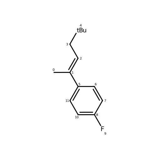 C/C(=C\CC(C)(C)C)c1ccc(F)cc1